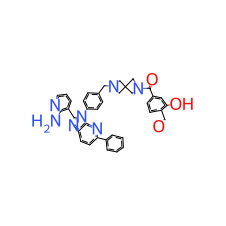 Nc1ncccc1-c1nc2ccc(-c3ccccc3)nc2n1-c1ccc(CN2CC3(C2)CN(C(=O)c2ccc(C=O)c(O)c2)C3)cc1